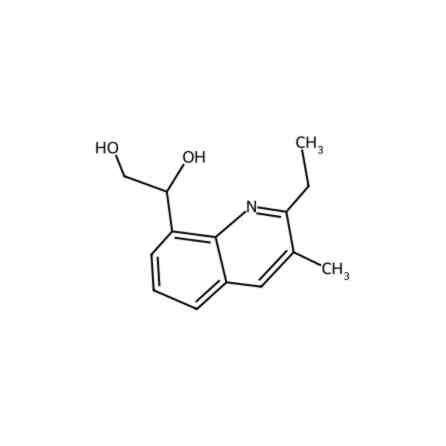 CCc1nc2c(C(O)CO)cccc2cc1C